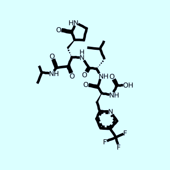 CC(C)C[C@H](NC(=O)[C@H](Cc1ccc(C(F)(F)F)cn1)NC(=O)O)C(=O)N[C@@H](C[C@@H]1CCNC1=O)C(=O)C(=O)NC(C)C